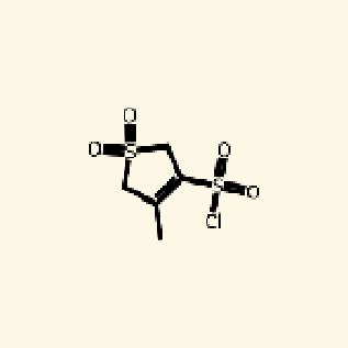 CC1=C(S(=O)(=O)Cl)CS(=O)(=O)C1